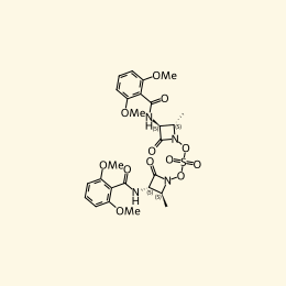 COc1cccc(OC)c1C(=O)N[C@@H]1C(=O)N(OS(=O)(=O)ON2C(=O)[C@@H](NC(=O)c3c(OC)cccc3OC)[C@@H]2C)[C@H]1C